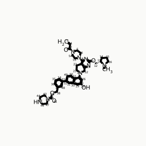 C=CC(=O)N1CCN(c2nc(OC[C@@H]3CCCN3C)nc3c2CCN(c2cc(O)cc4cc(-c5cccc(COC(=O)N6CCNCC6)c5)ccc24)C3)CC1